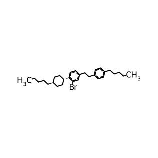 CCCCCc1ccc(CCc2ccc([C@H]3CC[C@H](CCCCC)CC3)c(Br)c2)cc1